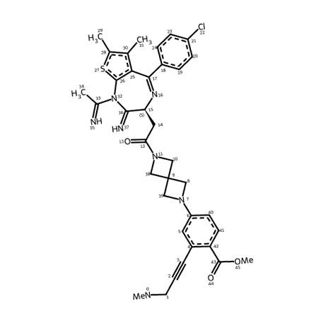 CNCC#Cc1cc(N2CC3(CN(C(=O)C[C@@H]4N=C(c5ccc(Cl)cc5)c5c(sc(C)c5C)N(C(C)=N)C4=N)C3)C2)ccc1C(=O)OC